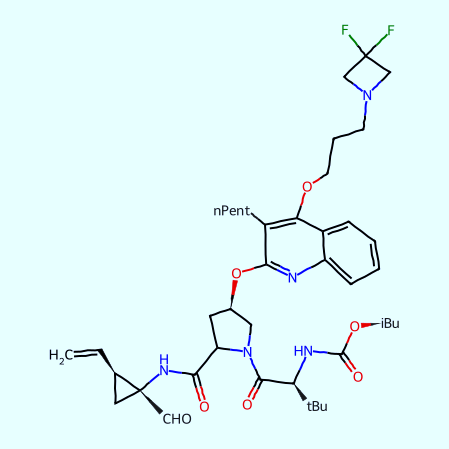 C=C[C@@H]1C[C@@]1(C=O)NC(=O)C1C[C@@H](Oc2nc3ccccc3c(OCCCN3CC(F)(F)C3)c2CCCCC)CN1C(=O)[C@@H](NC(=O)O[C@H](C)CC)C(C)(C)C